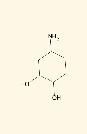 NC1CCC(O)C(O)C1